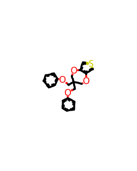 c1ccc(OCC2(COc3ccccc3)COc3cscc3OC2)cc1